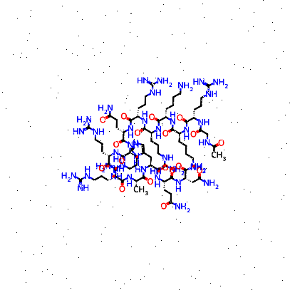 CC(=O)NCC(=O)N[C@@H](CCCNC(=N)N)C(=O)N[C@@H](CCCCN)C(=O)N[C@@H](CCCCN)C(=O)N[C@@H](CCCNC(=N)N)C(=O)N[C@@H](CCCNC(=N)N)C(=O)N[C@@H](CCC(N)=O)C(=O)N[C@@H](CCCNC(=N)N)C(=O)N[C@@H](CCCNC(=N)N)C(=O)N[C@@H](CCCNC(=N)N)C(=O)N[C@@H](C)C(=O)N[C@@H](Cc1cnc[nH]1)C(=O)N[C@@H](CCC(N)=O)C(=O)N[C@@H](CC(N)=O)C(N)=O